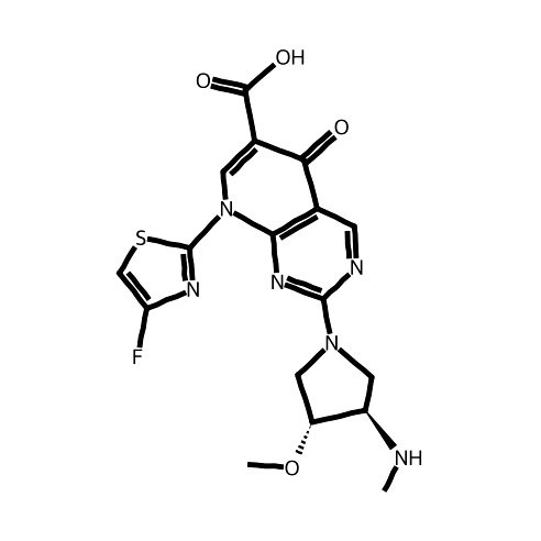 CN[C@@H]1CN(c2ncc3c(=O)c(C(=O)O)cn(-c4nc(F)cs4)c3n2)C[C@H]1OC